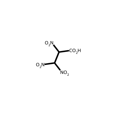 O=C(O)C(C([N+](=O)[O-])[N+](=O)[O-])[N+](=O)[O-]